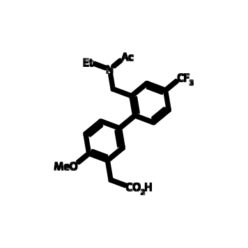 CCN(Cc1cc(C(F)(F)F)ccc1-c1ccc(OC)c(CC(=O)O)c1)C(C)=O